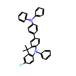 CC1(C)c2cc(F)ccc2N(c2ccccc2)c2ccc(-c3ccc(N(c4ccccc4)c4ccccc4)cc3)cc21